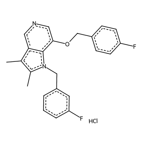 Cc1c(C)n(Cc2cccc(F)c2)c2c(OCc3ccc(F)cc3)cncc12.Cl